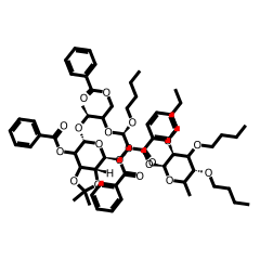 CCCCOC1[C@H](OCCCC)C(C)O[C@@H](OC[C@H](OC(=O)c2ccccc2)[C@H](OCCCC)OC(COC(=O)c2ccccc2)[C@H](C)O[C@@H]2O[C@@H](COC(=O)c3ccccc3)[C@@H]3OC(C)(C)OC3C2OC(=O)c2ccccc2)[C@H]1OCCCC